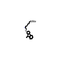 C=C1c2ccccc2-c2ccc(OC/C=C\CCCCNC)cc21